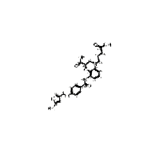 Cc1cc(COc2ccc(C(=O)Nc3cccc4c3OC(C(=O)O)CN4CCCC(=O)O)cc2)no1